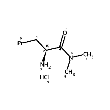 CC(C)C[C@H](N)C(=O)N(C)C.Cl